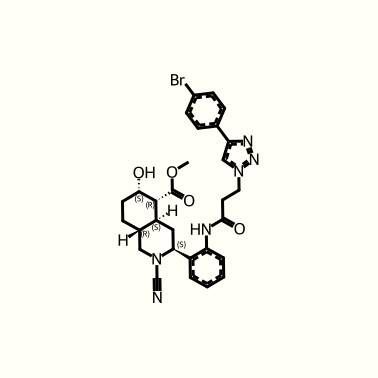 COC(=O)[C@@H]1[C@H]2C[C@@H](c3ccccc3NC(=O)CCn3cc(-c4ccc(Br)cc4)nn3)N(C#N)C[C@@H]2CC[C@@H]1O